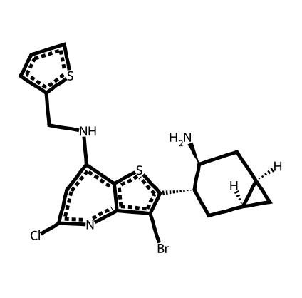 N[C@H]1C[C@H]2C[C@H]2C[C@@H]1c1sc2c(NCc3cccs3)cc(Cl)nc2c1Br